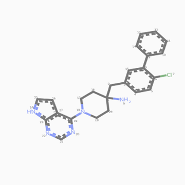 NC1(Cc2ccc(Cl)c(-c3ccccc3)c2)CCN(c2ncnc3[nH]ccc23)CC1